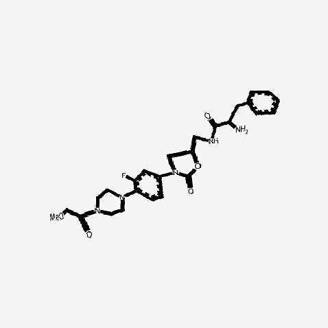 COCC(=O)N1CCN(c2ccc(N3CC(CNC(=O)C(N)Cc4ccccc4)OC3=O)cc2F)CC1